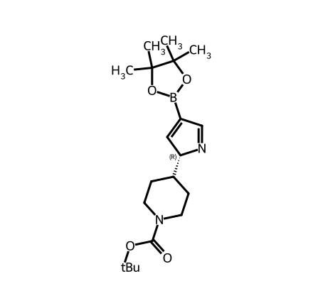 CC(C)(C)OC(=O)N1CCC([C@@H]2C=C(B3OC(C)(C)C(C)(C)O3)C=N2)CC1